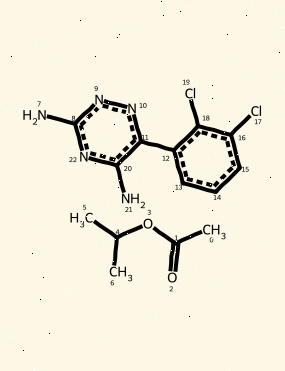 CC(=O)OC(C)C.Nc1nnc(-c2cccc(Cl)c2Cl)c(N)n1